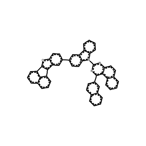 c1ccc2cc(-c3nc(-n4c5ccccc5c5cc(-c6ccc7oc8c(c7c6)-c6cccc7cccc-8c67)ccc54)nc4ccc5ccccc5c34)ccc2c1